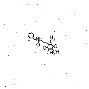 CC1=C(C)C(=O)C(CCCC(=O)NCc2ccccc2F)=C(C)C1=O